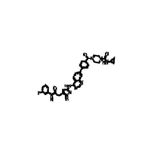 O=C(Cc1cc(Nc2ncnc3cc(-c4ccc(C(=O)N5CCN(C(=O)NC6CC6)CC5)cc4)ccc23)n[nH]1)Nc1cccc(F)c1